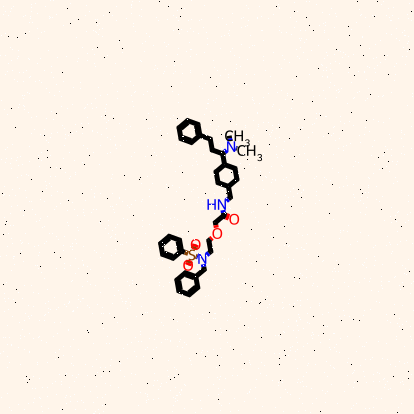 CN(C)C(CCc1ccccc1)C1CCC(CNC(=O)COCCN(Cc2ccccc2)S(=O)(=O)c2ccccc2)CC1